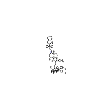 C[C@H](CCCC(O[Si](C)(C)C)(C(F)F)C(F)F)[C@H]1CC[C@H]2/C(=C/CS(=O)(=O)c3nc4ccccc4s3)CCC[C@]12C